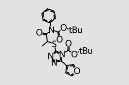 CC(Sc1nnc(-c2ccoc2)n1C(=O)OC(C)(C)C)C(=O)N(C(=O)OC(C)(C)C)c1ccccc1